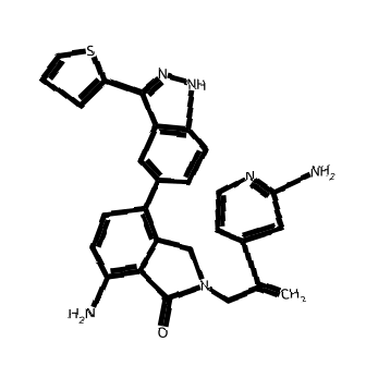 C=C(CN1Cc2c(-c3ccc4[nH]nc(-c5cccs5)c4c3)ccc(N)c2C1=O)c1ccnc(N)c1